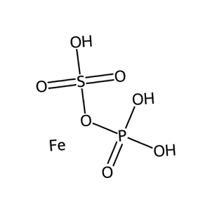 O=P(O)(O)OS(=O)(=O)O.[Fe]